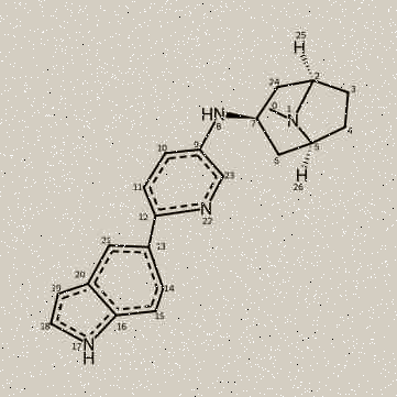 CN1[C@@H]2CC[C@H]1C[C@@H](Nc1ccc(-c3ccc4[nH]ccc4c3)nc1)C2